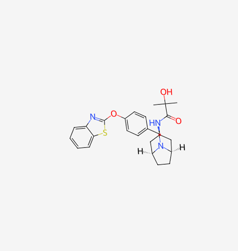 CC(C)(O)C(=O)N[C@H]1C[C@H]2CC[C@@H](C1)N2Cc1ccc(Oc2nc3ccccc3s2)cc1